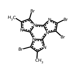 Cc1nc2n(c1Br)c1nc(C)c(Br)n1c1nc(Br)c(Br)n21